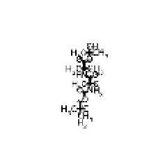 CC(C)(C)COC(=O)NC(C)(C)C(=O)NC(C)(C)C(=O)OC(C)(C)C